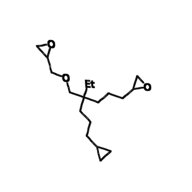 CCC(CCCC1CC1)(CCCC1CO1)COCC1CO1